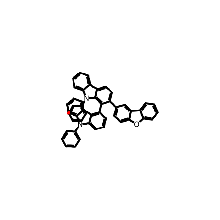 c1ccc(-n2c3ccccc3c3c(-c4c(-c5ccc6oc7ccccc7c6c5)ccc5c6ccccc6n(-c6ccccc6)c45)cccc32)cc1